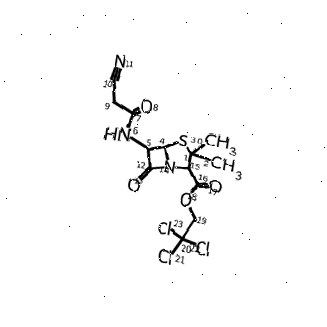 CC1(C)SC2C(NC(=O)CC#N)C(=O)N2C1C(=O)OCC(Cl)(Cl)Cl